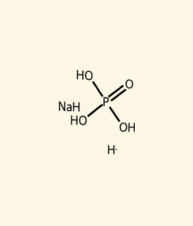 O=P(O)(O)O.[H].[NaH]